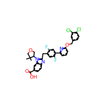 CC1(C)COCC1n1c(Cc2cc(F)c(-c3cccc(OCc4ccc(Cl)c(Cl)c4)n3)cc2F)nc2ccc(C(=O)O)cc21